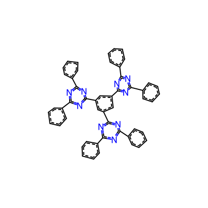 c1ccc(-c2nc(-c3ccccc3)nc(-c3cc(-c4nc(-c5ccccc5)nc(-c5ccccc5)n4)cc(-c4nc(-c5ccccc5)nc(-c5ccccc5)n4)c3)n2)cc1